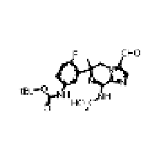 CC(C)(C)OC(=O)Nc1ccc(F)c(C2(C)Cn3c(C=O)cnc3C(NC(=O)O)=N2)c1